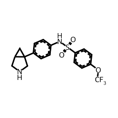 O=S(=O)(Nc1ccc(C23CNCC2C3)cc1)c1ccc(OC(F)(F)F)cc1